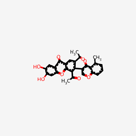 CC(=O)c1cc2c(=O)c3cc(O)c(O)cc3oc2c(C(C)=O)c1-c1coc2cccc(C)c2c1=O